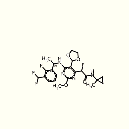 COc1nc(N[C@H](C)c2cccc(C(F)F)c2F)c(C2OCCO2)c(C(F)C(=O)NC2(C)CC2)n1